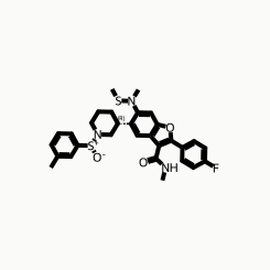 CNC(=O)c1c(-c2ccc(F)cc2)oc2cc(N(C)SC)c([C@H]3CCCN([S+]([O-])c4cccc(C)c4)C3)cc12